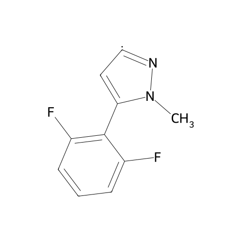 Cn1n[c]cc1-c1c(F)cccc1F